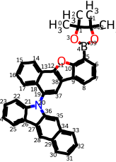 CC1(C)OB(c2cccc3c2oc2c4ccccc4c(-n4c5ccccc5c5cc6ccccc6cc54)cc32)OC1(C)C